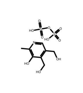 Cc1ncc(CO)c(CO)c1O.O=S(=O)(O)OS(=O)(=O)O